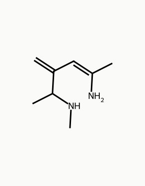 C=C(/C=C(/C)N)C(C)NC